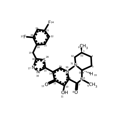 C[C@H]1CC[C@H]2N(C)C(=O)c3c(O)c(=O)c(-c4nnc(Cc5ccc(F)cc5F)s4)cn3N2C1